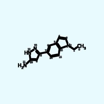 CCn1ccc2cc(-c3cc(N)[nH]n3)ccc21